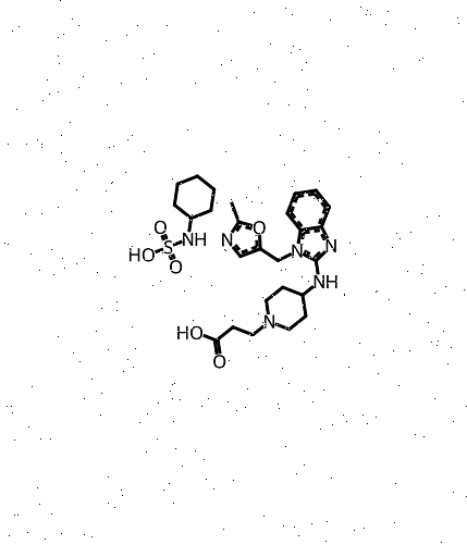 Cc1ncc(Cn2c(NC3CCN(CCC(=O)O)CC3)nc3ccccc32)o1.O=S(=O)(O)NC1CCCCC1